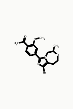 COc1cc(-c2nc(Br)c3n2CC(C)OCC3)ccc1C(C)=O